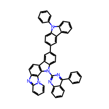 c1ccc(-c2nc(-n3c4ccc(-c5ccc6c(c5)c5ccccc5n6-c5ccccc5)cc4c4ccc5nc6ccccn6c5c43)nc3ccccc23)cc1